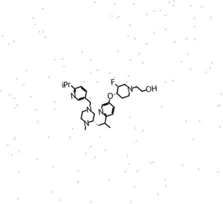 CC(C)c1ccc(CN2CCN(C)[C@@H](CC(C)c3ccc(O[C@H]4CCN(CCO)C[C@@H]4F)cn3)C2)cn1